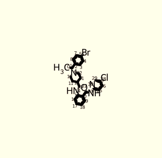 CC(c1ccc(Br)cc1)N1CCC(CNc2ccccc2C(=O)Nc2ccc(Cl)cn2)CC1